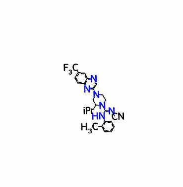 Cc1ccccc1N/C(=N\C#N)N1CCN(c2cnc3cc(C(F)(F)F)ccc3n2)CC1C(C)C